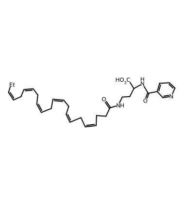 CC/C=C\C/C=C\C/C=C\C/C=C\C/C=C\C/C=C\CCC(=O)NCCC(NC(=O)c1cccnc1)C(=O)O